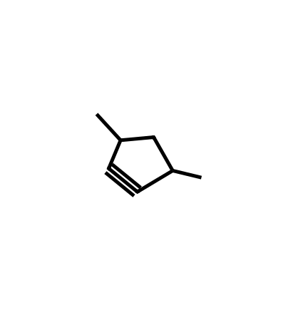 CC1C#CC(C)C1